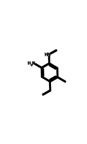 CCc1cc(N)c(NC)cc1C